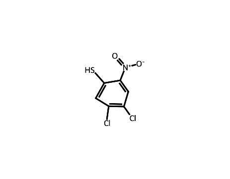 O=[N+]([O-])c1cc(Cl)c(Cl)cc1S